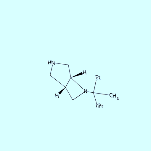 CCCC(C)(CC)N1C[C@@H]2CNC[C@@H]21